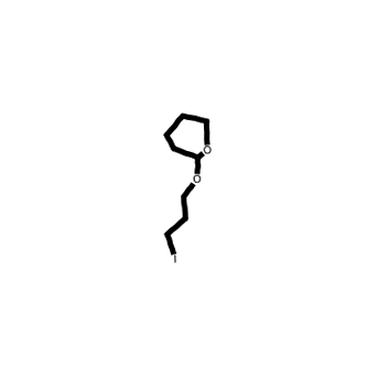 ICCCOC1CCCCO1